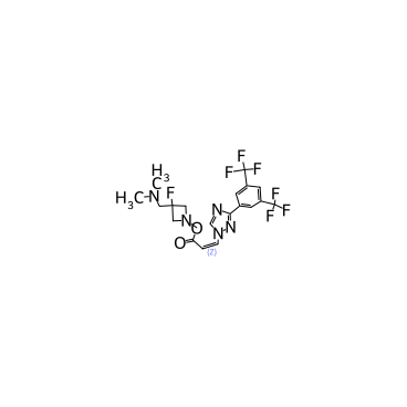 CN(C)CC1(F)CN(OC(=O)/C=C\n2cnc(-c3cc(C(F)(F)F)cc(C(F)(F)F)c3)n2)C1